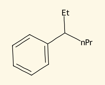 C[CH]CC(CC)c1ccccc1